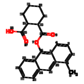 Cc1cccc2c(OC(=O)C3CCCCC3C(=O)O)c3ccccc3cc12